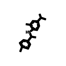 Cc1ccc(C(C)Nc2ccc(C(C)C)cc2C)cc1